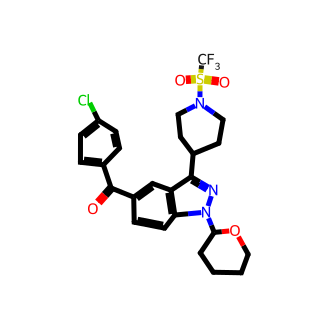 O=C(c1ccc(Cl)cc1)c1ccc2c(c1)c(C1CCN(S(=O)(=O)C(F)(F)F)CC1)nn2C1CCCCO1